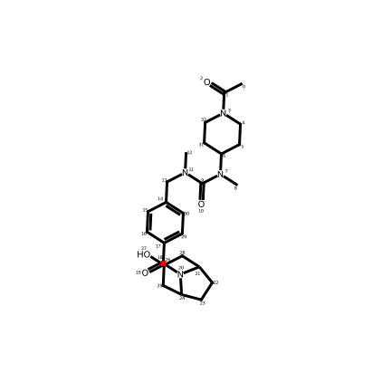 CC(=O)N1CCC(N(C)C(=O)N(C)Cc2ccc(C(=O)N3C4CCC3CC(O)C4)cc2)CC1